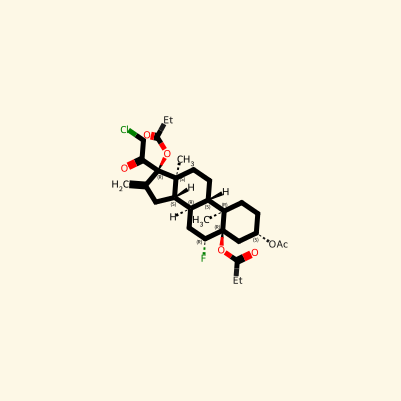 C=C1C[C@H]2[C@@H]3C[C@@H](F)[C@@]4(OC(=O)CC)C[C@@H](OC(C)=O)CC[C@]4(C)[C@H]3CC[C@]2(C)[C@@]1(OC(=O)CC)C(=O)CCl